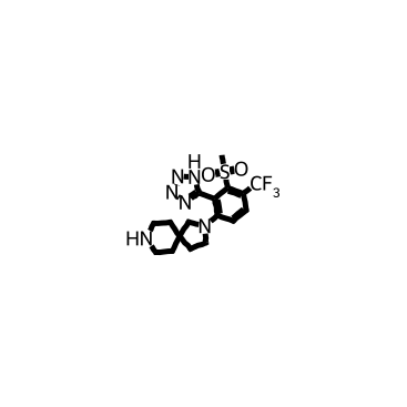 CS(=O)(=O)c1c(C(F)(F)F)ccc(N2CCC3(CCNCC3)C2)c1-c1nnn[nH]1